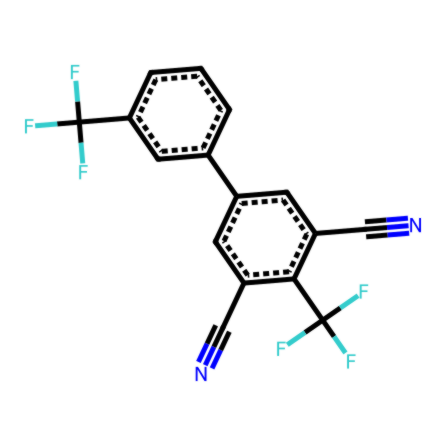 N#Cc1cc(-c2cccc(C(F)(F)F)c2)cc(C#N)c1C(F)(F)F